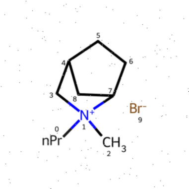 CCC[N+]1(C)CC2CCC1C2.[Br-]